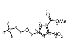 COC(=O)c1nn(COCC[Si](C)(C)C)cc1[N+](=O)[O-]